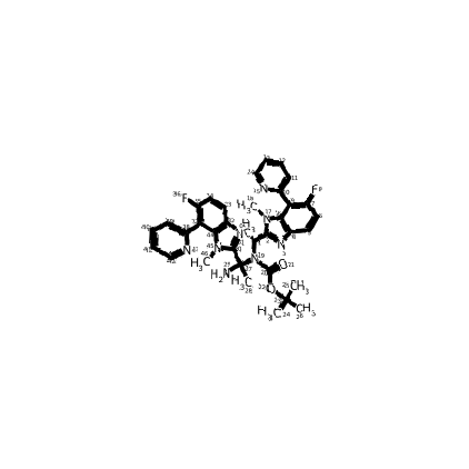 C[C@@H](c1nc2ccc(F)c(-c3ccccn3)c2n1C)N(C(=O)OC(C)(C)C)C(C)(N)c1nc2ccc(F)c(-c3ccccn3)c2n1C